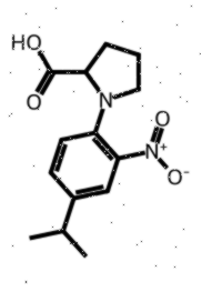 CC(C)c1ccc(N2CCCC2C(=O)O)c([N+](=O)[O-])c1